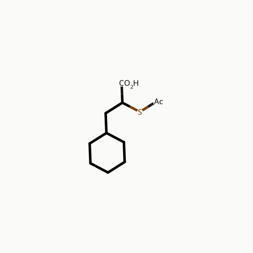 CC(=O)SC(CC1CCCCC1)C(=O)O